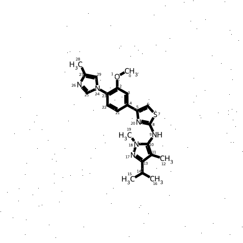 COc1cc(-c2csc(Nc3c(C)c(C(C)C)nn3C)n2)ccc1-n1cnc(C)c1